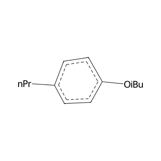 CCCc1ccc(OCC(C)C)cc1